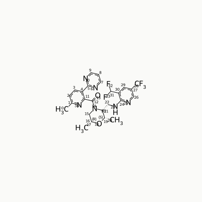 Cc1ccc(-c2ncccn2)c(C(=O)N2C[C@@H](C)O[C@@H](C)[C@H]2CNc2ncc(C(F)(F)F)cc2C(F)F)n1